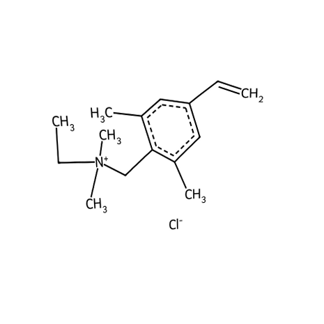 C=Cc1cc(C)c(C[N+](C)(C)CC)c(C)c1.[Cl-]